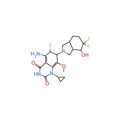 COC1=c2c(c(=O)[nH]c(=O)n2C2CC2)=C(N)C(F)C1N1CC2CCC(F)(F)C(O)C2C1